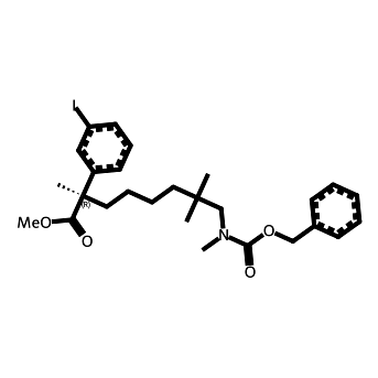 COC(=O)[C@](C)(CCCCC(C)(C)CN(C)C(=O)OCc1ccccc1)c1cccc(I)c1